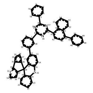 c1ccc(-c2nc(-c3cccc(-c4ccc5c(c4)C4(c6ccccc6S5)c5ccccc5-c5ccccc54)c3)nc(-c3ccc(-c4ccccc4)c4ccccc34)n2)cc1